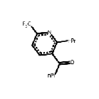 CCCC(=O)c1ccc(C(F)(F)F)nc1CCC